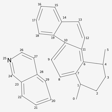 CC1CCC(C)c2c1ccc1c2ccc2ccccc21.c1ccc2cnccc2c1